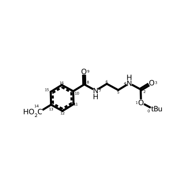 CC(C)(C)OC(=O)NCCNC(=O)c1ccc(C(=O)O)cc1